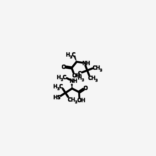 CN[C@H](C(=O)O)C(C)(C)S.C[C@H](NC(C)(C)C)C(=O)O